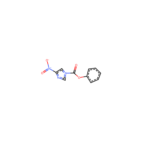 O=C(Oc1ccccc1)n1cnc([N+](=O)[O-])c1